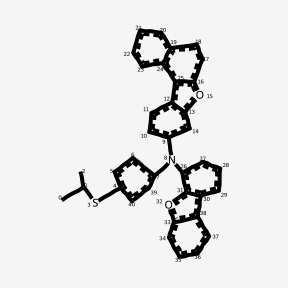 CC(C)Sc1ccc(N(c2ccc3c(c2)oc2ccc4ccccc4c23)c2cccc3c2oc2ccccc23)cc1